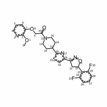 COc1ncccc1OCC(=O)N1CCC(c2nc(C3=NOC(c4c(F)cccc4F)C3)cs2)CC1